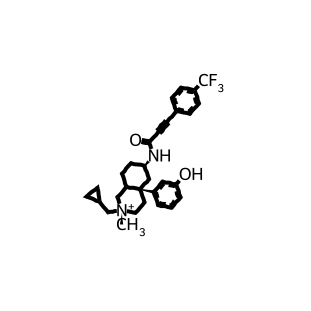 C[N@+]1(CC2CC2)CC[C@@]2(c3cccc(O)c3)C[C@H](NC(=O)C#Cc3ccc(C(F)(F)F)cc3)CCC2C1